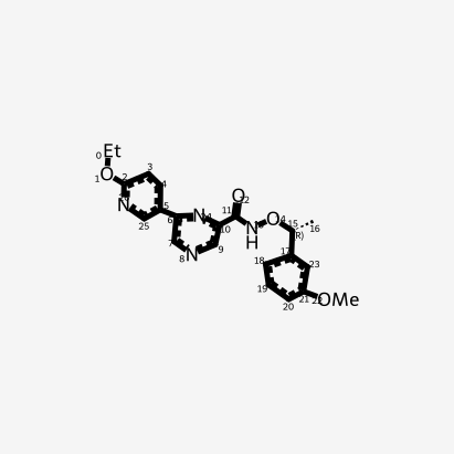 CCOc1ccc(-c2cncc(C(=O)NO[C@H](C)c3cccc(OC)c3)n2)cn1